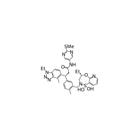 CC[C@@H]1CN(Cc2cc([C@H](CC(=O)Nc3cnc(SC)nc3)c3ccc4c(nnn4CC)c3C)ccc2C)S(O)(O)c2cccnc2O1